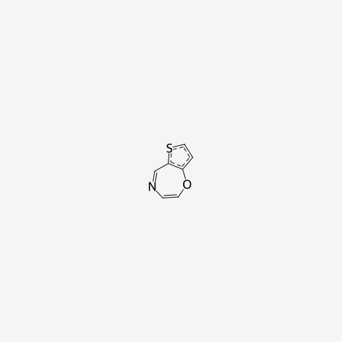 C1=COc2ccsc2C=N1